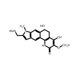 CNCc1cc2cc3c(cc2n1C)CCc1c-3[nH]c(=O)c(OC(=O)O)c1O.Cl